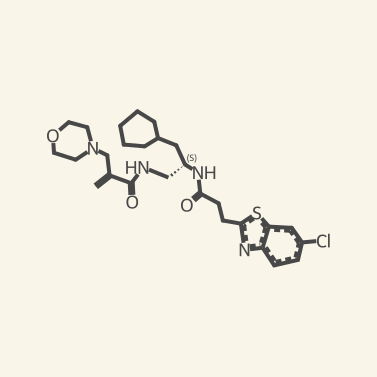 C=C(CN1CCOCC1)C(=O)NC[C@H](CC1CCCCC1)NC(=O)CCc1nc2ccc(Cl)cc2s1